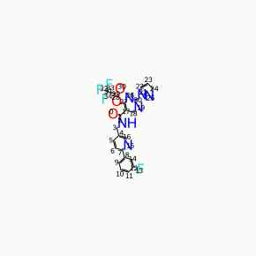 O=C(NCc1ccc(-c2cccc(F)c2)nc1)c1cnc(-n2cccn2)nc1OC(=O)C(F)(F)F